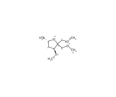 B[C@H]1C[C@H](OC)C(COC)(COC)O1